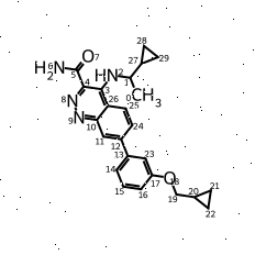 CC(Nc1c(C(N)=O)nnc2cc(-c3cccc(OCC4CC4)c3)ccc12)C1CC1